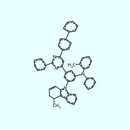 Cc1ccccc1N(c1ccccc1)c1cc(-c2cc(-c3ccc(-c4ccccc4)cc3)nc(-c3ccccc3)n2)cc(-n2c3c(c4ccccc42)C(C)CC=C3)c1